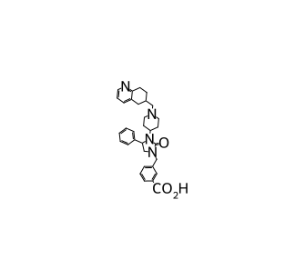 O=C(O)c1cccc(CN2CC(c3ccccc3)N(C3CCN(CC4CCc5ncccc5C4)CC3)C2=O)c1